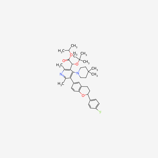 Cc1nc(C)c(C(OC(C)(C)C)C(=O)OC(C)C)c(N2CCC(C)(C)CC2)c1-c1ccc2c(c1)CCC(c1ccc(F)cc1)O2